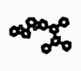 c1ccc(-c2cc(-c3ccc4c(c3)oc3c(-c5cccc6c5oc5ccccc56)cccc34)cc(-c3nc(-c4ccccc4)cc(-c4ccccc4)n3)c2)cc1